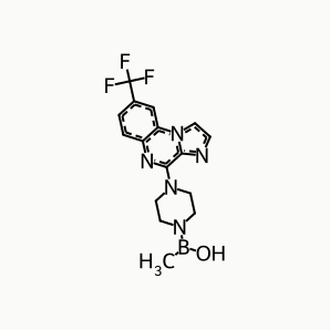 CB(O)N1CCN(c2nc3ccc(C(F)(F)F)cc3n3ccnc23)CC1